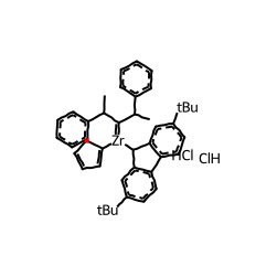 CC([C](C(C)c1ccccc1)=[Zr]([C]1=CC=CC1)[CH]1c2cc(C(C)(C)C)ccc2-c2ccc(C(C)(C)C)cc21)c1ccccc1.Cl.Cl